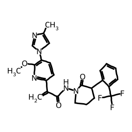 C=C(C(=O)NN1CCCC(c2ccccc2C(F)(F)F)C1=O)c1ccc(-n2cnc(C)c2)c(OC)n1